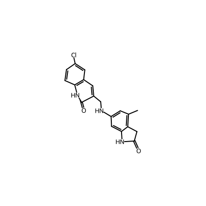 Cc1cc(NCc2cc3cc(Cl)ccc3[nH]c2=O)cc2c1CC(=O)N2